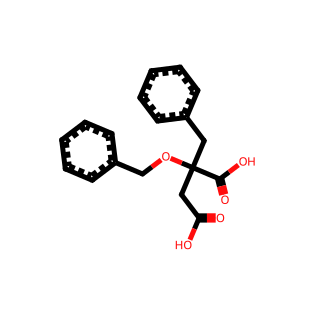 O=C(O)CC(Cc1ccccc1)(OCc1ccccc1)C(=O)O